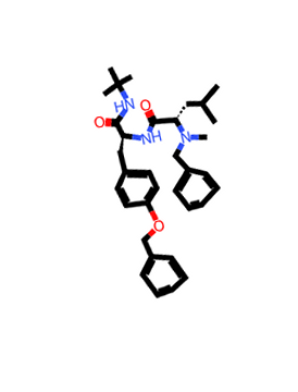 CC(C)C[C@@H](C(=O)N[C@@H](Cc1ccc(OCc2ccccc2)cc1)C(=O)NC(C)(C)C)N(C)Cc1ccccc1